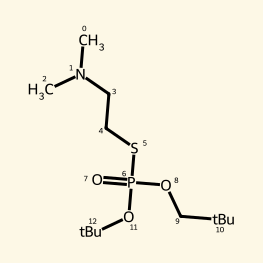 CN(C)CCSP(=O)(OCC(C)(C)C)OC(C)(C)C